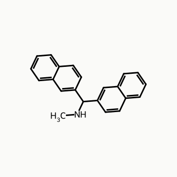 CNC(c1ccc2ccccc2c1)c1ccc2ccccc2c1